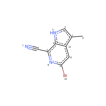 Cc1c[nH]c2c(C#N)nc(Br)cc12